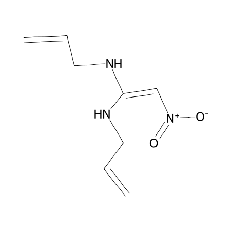 C=CCNC(=C[N+](=O)[O-])NCC=C